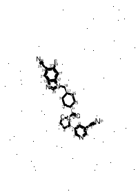 N#Cc1cncc([C@@H]2CCON2C(=O)[C@H]2CC[C@H](Cn3cnc4cc(C#N)c(F)cc43)CC2)c1